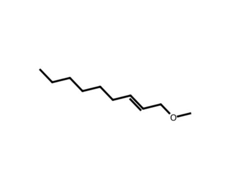 CCCCCC/C=C/COC